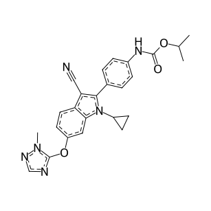 CC(C)OC(=O)Nc1ccc(-c2c(C#N)c3ccc(Oc4ncnn4C)cc3n2C2CC2)cc1